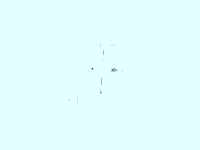 CC1(C)C(O)C(=O)C1CC(Cl)(Cl)Cl